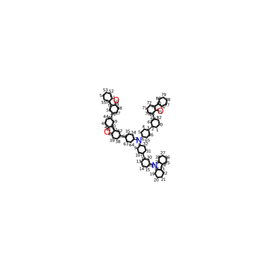 c1cc(-c2ccc(N(c3ccc(-c4cccc(-n5c6ccccc6c6ccccc65)c4)cc3)c3ccc(-c4ccc5oc6ccc(-c7ccc8oc9ccccc9c8c7)cc6c5c4)cc3)cc2)cc(-c2cccc3c2oc2ccccc23)c1